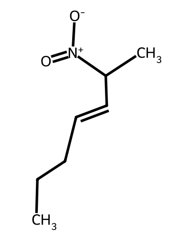 CCCC=CC(C)[N+](=O)[O-]